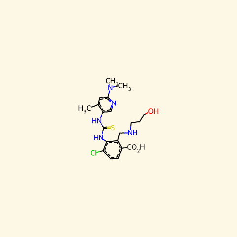 Cc1cc(N(C)C)ncc1NC(=S)Nc1c(Cl)ccc(C(=O)O)c1CNCCCO